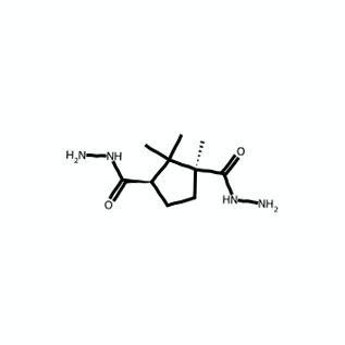 CC1(C)[C@H](C(=O)NN)CC[C@]1(C)C(=O)NN